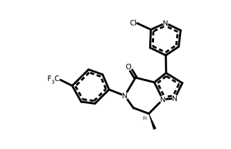 C[C@H]1CN(c2ccc(C(F)(F)F)cc2)C(=O)c2c(-c3ccnc(Cl)c3)cnn21